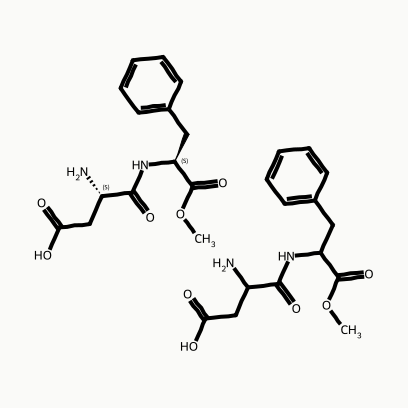 COC(=O)C(Cc1ccccc1)NC(=O)C(N)CC(=O)O.COC(=O)[C@H](Cc1ccccc1)NC(=O)[C@@H](N)CC(=O)O